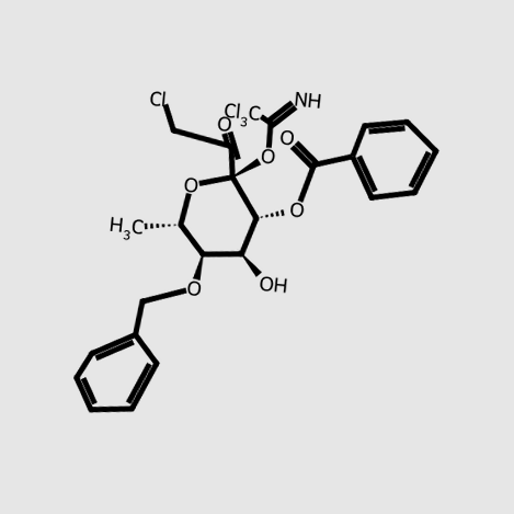 C[C@@H]1O[C@](OC(=N)C(Cl)(Cl)Cl)(C(=O)CCl)[C@H](OC(=O)c2ccccc2)[C@@H](O)[C@H]1OCc1ccccc1